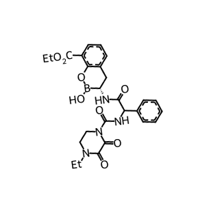 CCOC(=O)c1cccc2c1OB(O)[C@@H](NC(=O)C(NC(=O)N1CCN(CC)C(=O)C1=O)c1ccccc1)C2